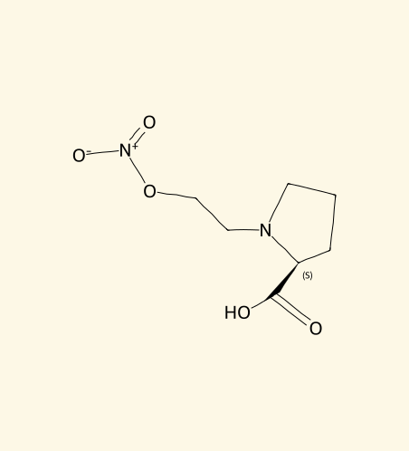 O=C(O)[C@@H]1CCCN1CCO[N+](=O)[O-]